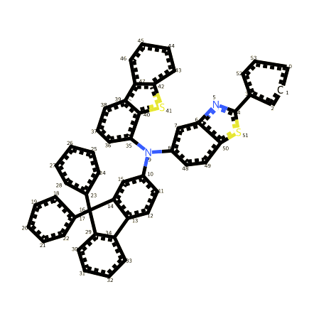 c1ccc(-c2nc3cc(N(c4ccc5c(c4)C(c4ccccc4)(c4ccccc4)c4ccccc4-5)c4cccc5c4sc4ccccc45)ccc3s2)cc1